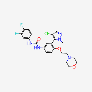 Cn1ncc(Cl)c1-c1cc(NC(=O)Nc2ccc(F)c(F)c2)ccc1OCCN1CCOCC1